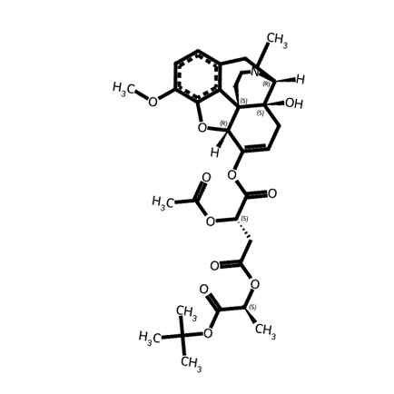 COc1ccc2c3c1O[C@H]1C(OC(=O)[C@H](CC(=O)O[C@@H](C)C(=O)OC(C)(C)C)OC(C)=O)=CC[C@@]4(O)[C@@H](C2)N(C)CC[C@]314